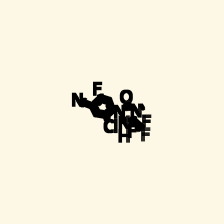 CN1C(=O)N(c2cc(F)c(C#N)cc2Cl)NC1C(F)(F)F